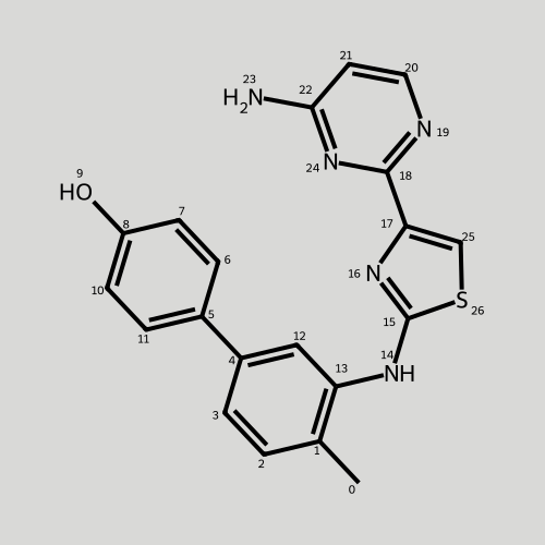 Cc1ccc(-c2ccc(O)cc2)cc1Nc1nc(-c2nccc(N)n2)cs1